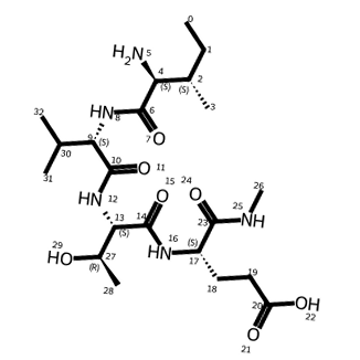 CC[C@H](C)[C@H](N)C(=O)N[C@H](C(=O)N[C@H](C(=O)N[C@@H](CCC(=O)O)C(=O)NC)[C@@H](C)O)C(C)C